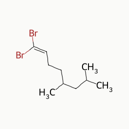 CC(C)CC(C)CCC=C(Br)Br